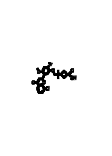 COc1cc(Br)c(OCC(C)(C)C2CC(C(=O)O)C2)cc1-c1cc(=O)c2cccc(Cl)c2o1